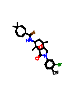 CC1(C)C=CC=C(C(=S)NC2C[C@@]3(C)O[C@]2(C)C2C(=O)N(c4ccc(C#N)c(Br)c4)CC23)C=C1